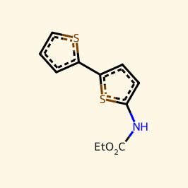 CCOC(=O)Nc1ccc(-c2cccs2)s1